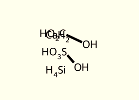 O=C(O)O.O=S(=O)(O)O.[CaH2].[SiH4]